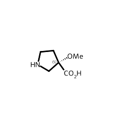 CO[C@@]1(C(=O)O)CCNC1